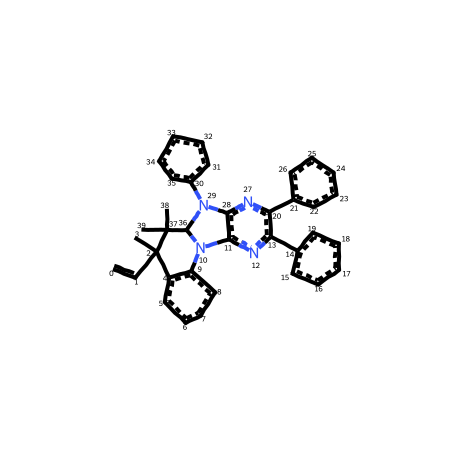 C=CC1(C)c2ccccc2N2c3nc(-c4ccccc4)c(-c4ccccc4)nc3N(c3ccccc3)C2C1(C)C